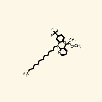 CCCCCCCCCCCCN(c1cccc(C(F)(F)F)c1)c1ncccc1C(=O)N(C)OC